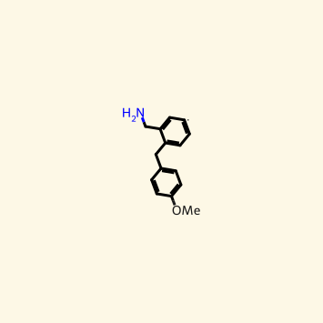 COc1ccc(Cc2cc[c]cc2CN)cc1